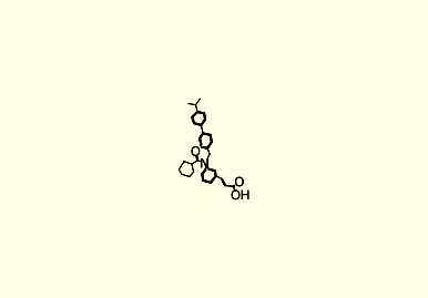 CC(C)c1ccc(-c2ccc(CN(C(=O)C3CCCCC3)c3cccc(C=CC(=O)O)c3)cc2)cc1